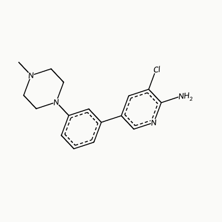 CN1CCN(c2cccc(-c3cnc(N)c(Cl)c3)c2)CC1